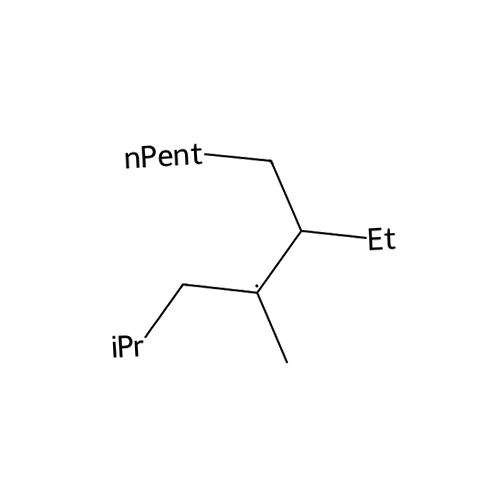 CCCCCCC(CC)[C](C)CC(C)C